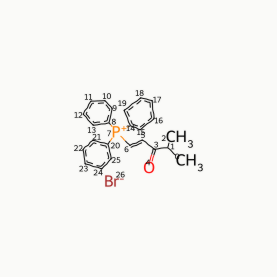 CC(C)C(=O)C=C[P+](c1ccccc1)(c1ccccc1)c1ccccc1.[Br-]